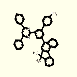 Cc1ccc(-c2cc(-c3nc(-c4ccccc4)nc(-c4ccccc4)n3)cc(-c3cc4c(c5ccccc35)-c3ccccc3C4(C)C)c2)cc1